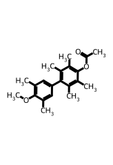 COc1c(C)cc(-c2c(C)c(C)c(OC(C)=O)c(C)c2C)cc1C